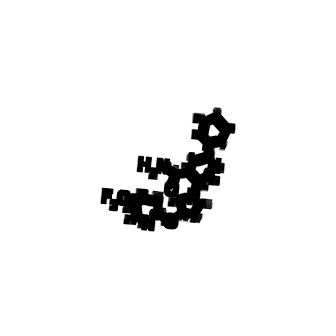 NC(=O)c1cc(-c2ccccc2)ncc1N1CC[C@@H](Oc2ccc(C(F)(F)F)cn2)C1